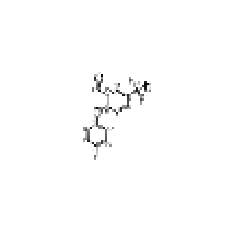 Cc1ccc(Oc2ccc(C(F)(F)F)cc2C=O)cc1